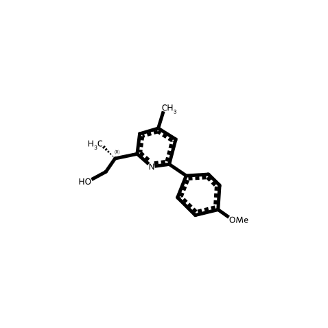 COc1ccc(-c2cc(C)cc([C@@H](C)CO)n2)cc1